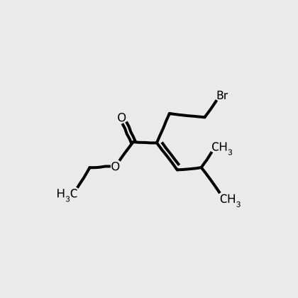 CCOC(=O)C(=CC(C)C)CCBr